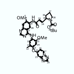 COc1cc2ncnc(Nc3cc(C)c(Oc4ccn5ncnc5c4)cc3OC)c2cc1NC(=O)C=CC1CCCN1C(=O)OC(C)(C)C